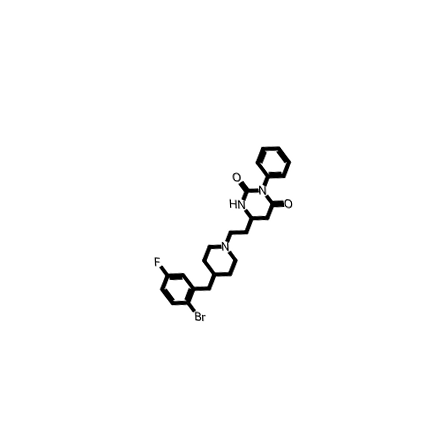 O=C1CC(CCN2CCC(Cc3cc(F)ccc3Br)CC2)NC(=O)N1c1ccccc1